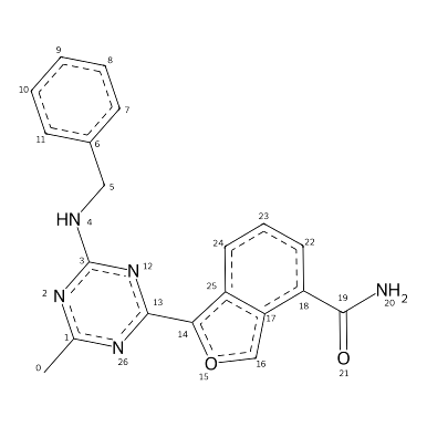 Cc1nc(NCc2ccccc2)nc(-c2occ3c(C(N)=O)cccc23)n1